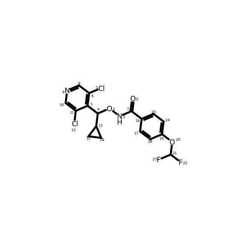 O=C(NOC(c1c(Cl)cncc1Cl)C1CC1)c1ccc(OC(F)F)cc1